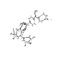 CN1CCC(C(=O)N2CCN(c3nc4c(-c5cc(F)c(F)c(F)c5)cc(C(F)(F)F)cc4[nH]3)CC2)CC1